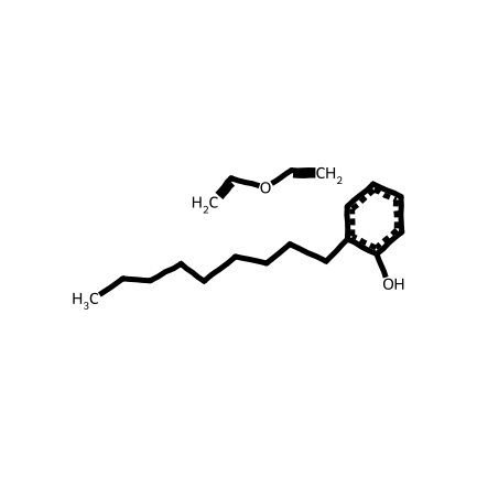 C=COC=C.CCCCCCCCCc1ccccc1O